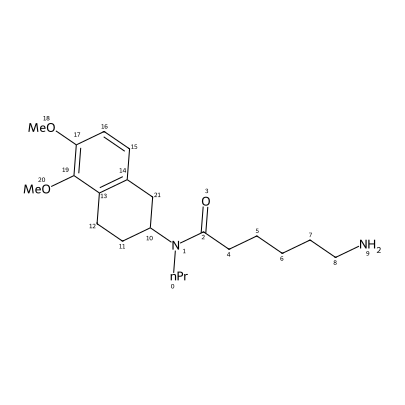 CCCN(C(=O)CCCCCN)C1CCc2c(ccc(OC)c2OC)C1